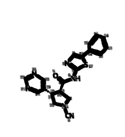 N#CN1C[C@H](C(=O)Nc2ncc(-c3ccccc3)s2)[C@@H](c2cncnc2)C1